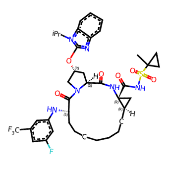 CC(C)n1c(O[C@@H]2C[C@H]3C(=O)N[C@]4(C(=O)NS(=O)(=O)C5(C)CC5)C[C@H]4CCCCCCC[C@H](Nc4cc(F)cc(C(F)(F)F)c4)C(=O)N3C2)nc2ccccc21